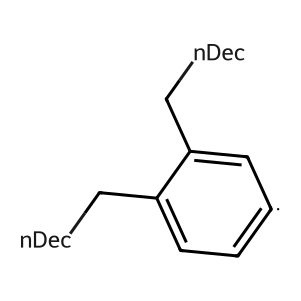 CCCCCCCCCCCc1c[c]ccc1CCCCCCCCCCC